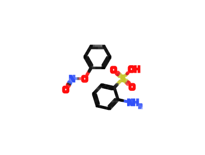 Nc1ccccc1S(=O)(=O)O.O=NOc1ccccc1